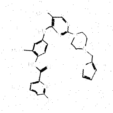 COc1cc(Nc2nc(N3CCN(Cc4cccs4)CC3)ncc2OC)ccc1NC(=O)c1cccc(Br)n1